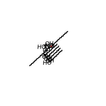 CCCCCCCCCCCCCCC(O)=S.CCCCCCCCCCCCCCC(O)=S.CCCCCCCCCCCCCCC(O)=S.CCCCCCCCCCCCCCC(O)=S.CCCCCCCCCCCCCCCCCCOC(=O)CCSCCC(=O)OCCCCCCCCCCCCCCCCCC.OCC(CO)(CO)CO